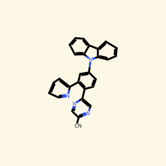 N#Cc1cnc(-c2ccc(-n3c4ccccc4c4ccccc43)cc2-c2ccccn2)cn1